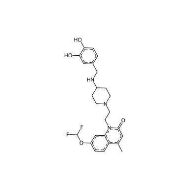 Cc1cc(=O)n(CCN2CCC(NCc3ccc(O)c(O)c3)CC2)c2cc(OC(F)F)ccc12